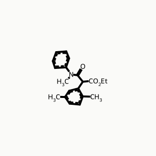 CCOC(=O)C(C(=O)N(C)c1ccccc1)c1cc(C)ccc1C